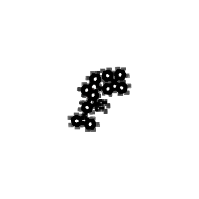 CC1(C)c2cc(N(c3ccc4c(c3)C(c3ccccc3)(c3ccccc3)c3ccccc3-4)c3ccccc3-c3ccccc3)ccc2-c2ccc(-n3c4ccccc4c4ccccc43)cc21